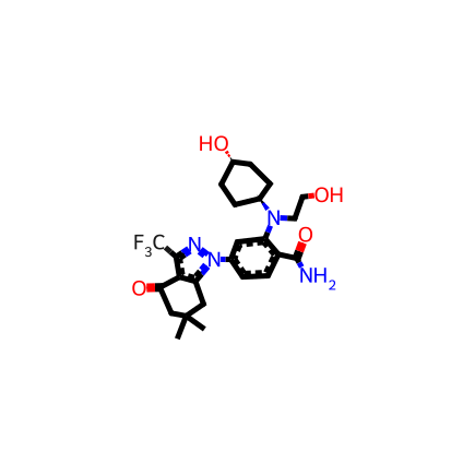 CC1(C)CC(=O)c2c(C(F)(F)F)nn(-c3ccc(C(N)=O)c(N(CCO)[C@H]4CC[C@H](O)CC4)c3)c2C1